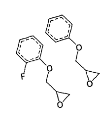 Fc1ccccc1OCC1CO1.c1ccc(OCC2CO2)cc1